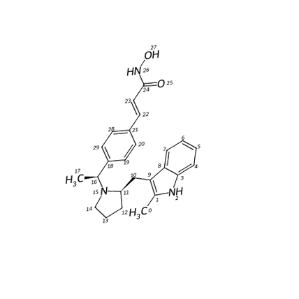 Cc1[nH]c2ccccc2c1C[C@H]1CCCN1[C@@H](C)c1ccc(/C=C/C(=O)NO)cc1